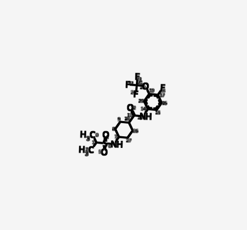 CC(C)S(=O)(=O)NC1CCC(C(=O)Nc2ccc(F)c(OC(F)(F)F)c2)CC1